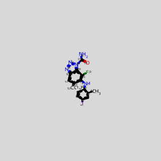 Cc1cc(I)ccc1Nc1c(C(=O)O)cc2nnn(C(N)=O)c2c1F